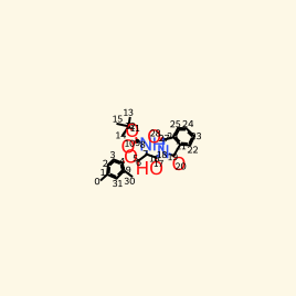 Cc1ccc(OCC(NC(=O)OC(C)(C)C)C(O)N2C(=O)c3ccccc3C2=O)c(C)c1